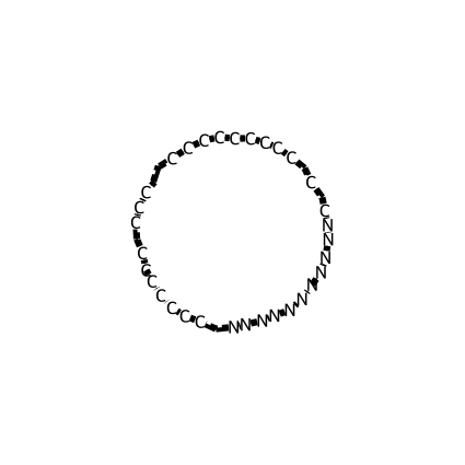 c1cccccccccccccnnnnnnnnnnnccccccccccccc1